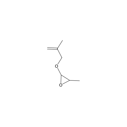 C=C(C)COC1OC1C